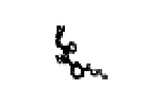 CSC1CCCC(NC(=O)CC#N)C1